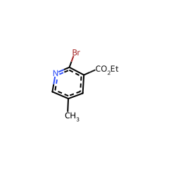 CCOC(=O)c1cc(C)cnc1Br